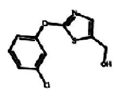 OCc1cnc(Oc2cccc(Cl)c2)s1